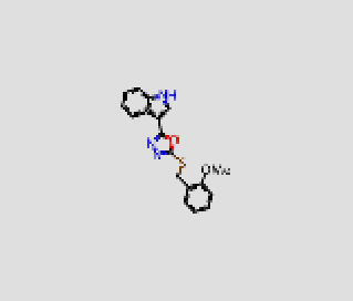 COc1ccccc1CSc1nnc(-c2c[nH]c3ccccc23)o1